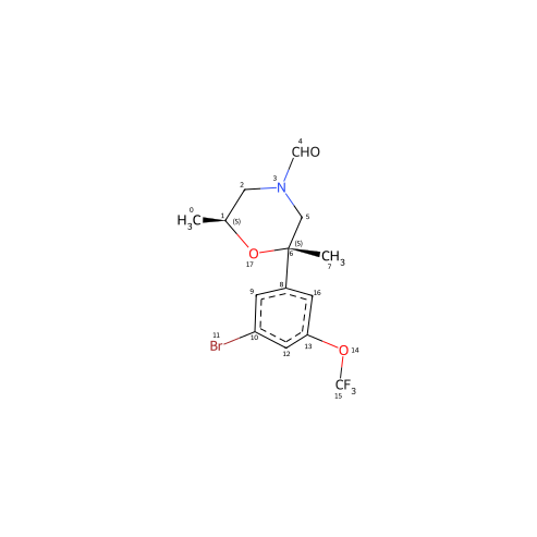 C[C@H]1CN(C=O)C[C@](C)(c2cc(Br)cc(OC(F)(F)F)c2)O1